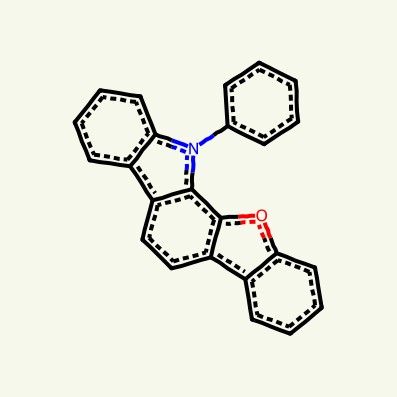 c1ccc(-n2c3ccccc3c3ccc4c5ccccc5oc4c32)cc1